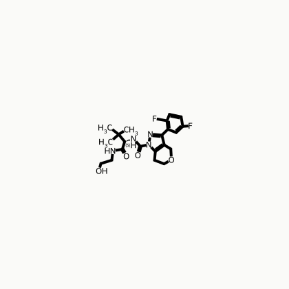 CC(C)(C)[C@H](NC(=O)n1nc(-c2cc(F)ccc2F)c2c1CCOC2)C(=O)NCCO